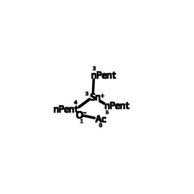 CC(=O)[O-].CCCC[CH2][Sn+]([CH2]CCCC)[CH2]CCCC